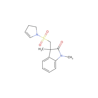 CN1C(=O)C(C)(CS(=O)(=O)N2C=CCC2)c2ccccc21